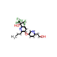 CCCc1nc(C(O)(C(F)(F)F)C(F)(F)F)ccc1Oc1ccc(CCO)nc1